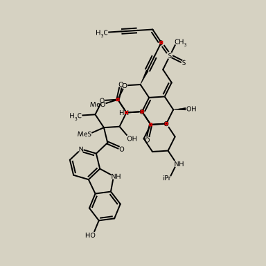 CC#C/C=C\C#C[C@H](OC1OC(C)C(SC)(C(=O)c2nccc3c2[nH]c2ccc(O)cc23)C(O)C1OC1CCC(NC(C)C)CO1)C1=C(NC(=O)OC)C(=O)C[C@H](O)/C1=C/CS(C)(=S)=S